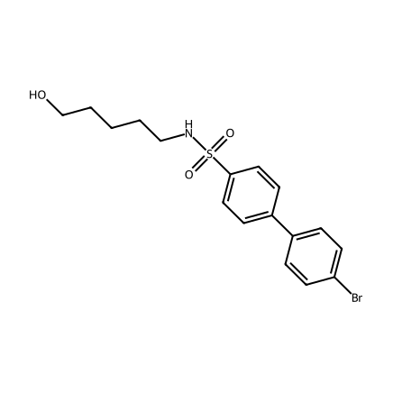 O=S(=O)(NCCCCCO)c1ccc(-c2ccc(Br)cc2)cc1